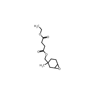 CCOC(=O)CCC(=O)OCC1(C)CCC2OC2C1